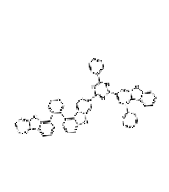 c1ccc(-c2nc(-c3ccc4c(c3)oc3cccc(-c5ccccc5-c5cccc6c5oc5ccccc56)c34)nc(-c3cc(-c4ccccc4)c4c(c3)oc3ccccc34)n2)cc1